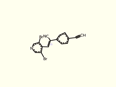 C#Cc1ccc(/C(C#N)=C/c2c(Br)cncc2Br)cc1